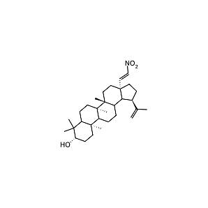 C=C(C)[C@@H]1CC[C@]2(/C=C/[N+](=O)[O-])CC[C@]3(C)C(CCC4[C@@]5(C)CC[C@H](O)C(C)(C)C5CC[C@]43C)C12